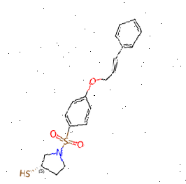 O=S(=O)(c1ccc(OCC#Cc2ccccc2)cc1)N1CC[C@H](S)C1